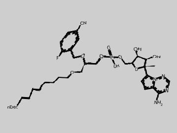 CCCCCCCCCCCCCCCCCCOC[C@H](COP(=O)(O)OCC1O[C@@](C)(c2ccc3c(N)ncnn23)[C@H](O)[C@@H]1O)OCc1cc(C#N)ccc1F